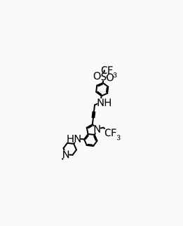 CN1CCC(Nc2cccc3c2cc(C#CCNc2ccc(S(=O)(=O)C(F)(F)F)cc2)n3CC(F)(F)F)CC1